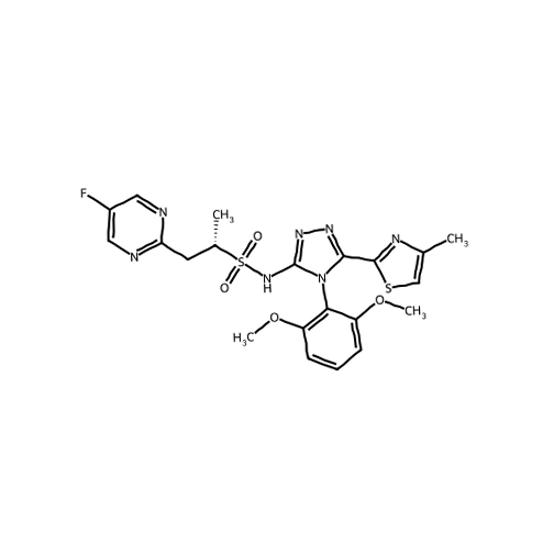 COc1cccc(OC)c1-n1c(NS(=O)(=O)[C@@H](C)Cc2ncc(F)cn2)nnc1-c1nc(C)cs1